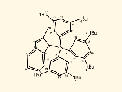 CC1=Cc2ccccc2[C]1[Si](c1cc(C(C)(C)C)cc(C(C)(C)C)c1)(c1cc(C(C)(C)C)cc(C(C)(C)C)c1)c1cc(C(C)(C)C)cc(C(C)(C)C)c1